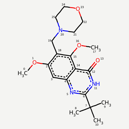 COc1cc2nc(C(C)(C)C)[nH]c(=O)c2c(OC)c1CN1CCOCC1